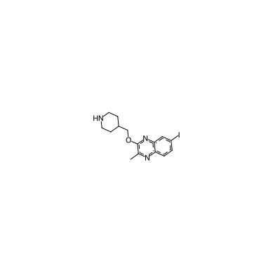 Cc1nc2ccc(I)cc2nc1OCC1CCNCC1